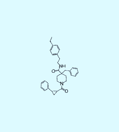 CCc1ccc(CCNC(=O)C2(Cc3ccccc3)CCN(C(=O)C3CC3c3ccccc3)CC2)cc1